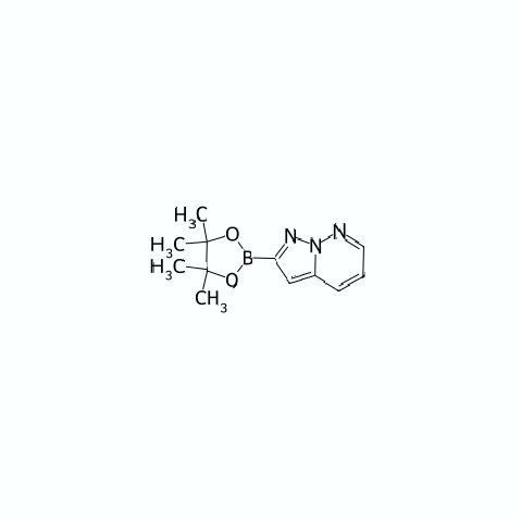 CC1(C)OB(c2cc3cccnn3n2)OC1(C)C